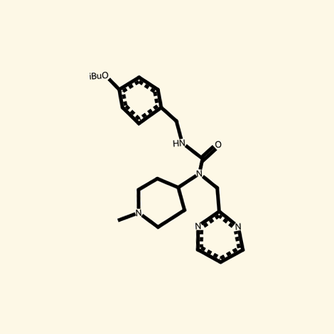 CC(C)COc1ccc(CNC(=O)N(Cc2ncccn2)C2CCN(C)CC2)cc1